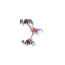 CC(C)[Si](OCCCCCCCCCCCOc1cc(OCCCCCCCCCCCO[Si](C(C)C)(C(C)C)C(C)C)cc(C(OC(=O)CN)(c2ccc(Cl)cc2)c2ccc(Cl)cc2)c1)(C(C)C)C(C)C